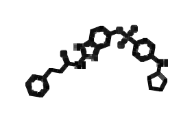 O=C(CCc1ccccc1)Nc1nc2cc(OS(=O)(=O)c3ccc(NC4CCCC4)cc3)ccc2[nH]1